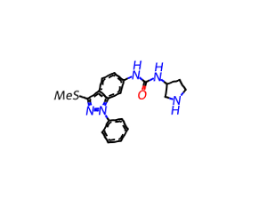 CSc1nn(-c2ccccc2)c2cc(NC(=O)NC3CCNC3)ccc12